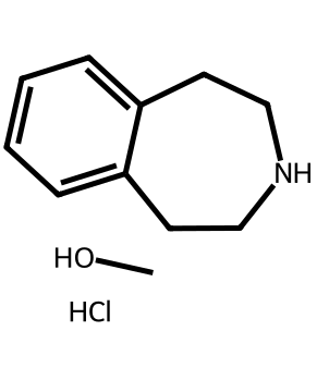 CO.Cl.c1ccc2c(c1)CCNCC2